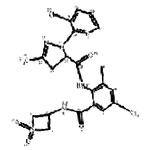 Cc1cc(Cl)cc(C(=O)NC2CS(=O)(=O)C2)c1NC(=O)C1CC(C(F)(F)F)=NN1c1ncccc1Cl